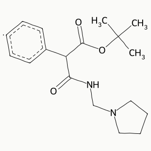 CC(C)(C)OC(=O)C(C(=O)NCN1CCCC1)c1cc[c]cc1